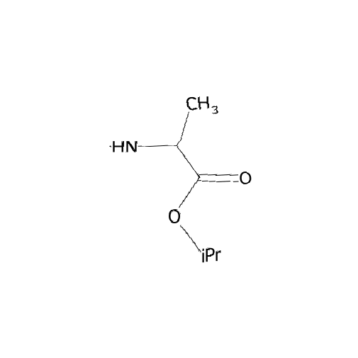 CC(C)OC(=O)C(C)[NH]